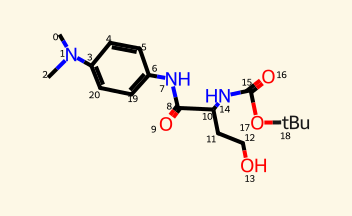 CN(C)c1ccc(NC(=O)C(CCO)NC(=O)OC(C)(C)C)cc1